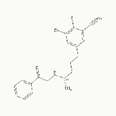 C#Cc1cc(CCC[C@H](C)NCC(=O)c2ccccc2)cc(Cl)c1F